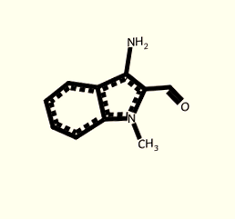 Cn1c(C=O)c(N)c2ccccc21